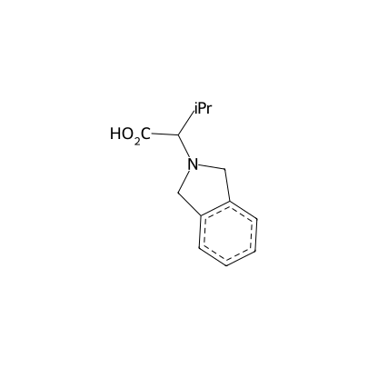 CC(C)C(C(=O)O)N1Cc2ccccc2C1